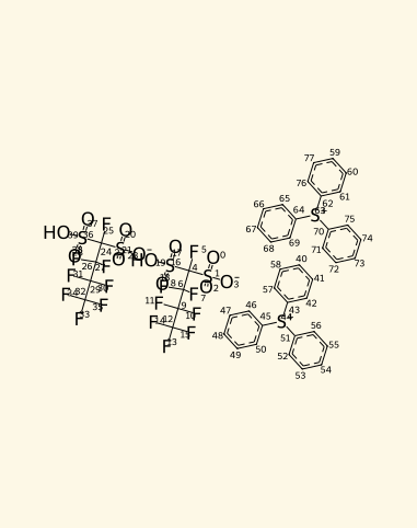 O=S(=O)([O-])C(F)(C(F)(F)C(F)(F)C(F)(F)F)S(=O)(=O)O.O=S(=O)([O-])C(F)(C(F)(F)C(F)(F)C(F)(F)F)S(=O)(=O)O.c1ccc([S+](c2ccccc2)c2ccccc2)cc1.c1ccc([S+](c2ccccc2)c2ccccc2)cc1